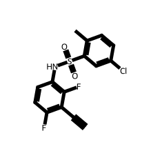 C#Cc1c(F)ccc(NS(=O)(=O)c2cc(Cl)ccc2C)c1F